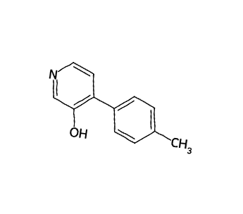 Cc1ccc(-c2ccncc2O)cc1